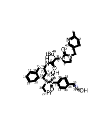 Cc1ccc(CN2CCN([C@H](C(=O)N[C@@H](Cc3ccccc3)[C@H](O)CN(CC(C)C)S(=O)(=O)c3ccc(/C=N/O)cc3)C(C)(C)C)C2=O)cn1